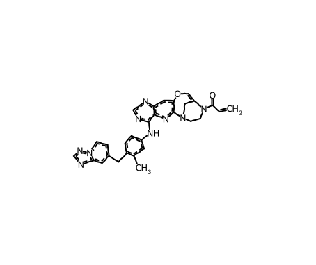 C=CC(=O)N1CCN2CC1=COc1cc3ncnc(Nc4ccc(Cc5ccn6ncnc6c5)c(C)c4)c3nc12